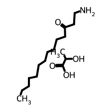 CC(O)C(=O)O.CCCCCCCCCCCC(=O)CCN